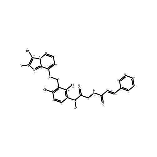 Cc1nc2c(OCc3c(Cl)ccc(N(C)C(=O)CNC(=O)/C=C/c4ccccc4)c3Cl)cccn2c1Br